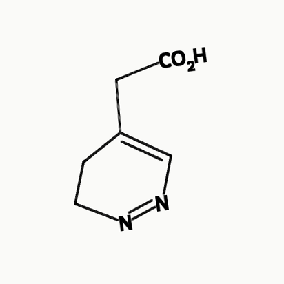 O=C(O)CC1=CN=NCC1